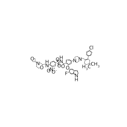 CC1(C)CCC(CN2CCN(c3ccc(C(=O)NS(=O)(=O)c4ccc(NCC5CN(C6COC6)CCO5)c([N+](=O)[O-])c4)c(Oc4cc5cc[nH]c5cc4F)c3)CC2)=C(c2ccc(Cl)cc2)C1